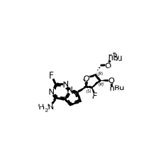 CCCCOC[C@H]1OC(c2ccc3c(N)nc(F)nn23)[C@H](F)[C@@H]1OCCCC